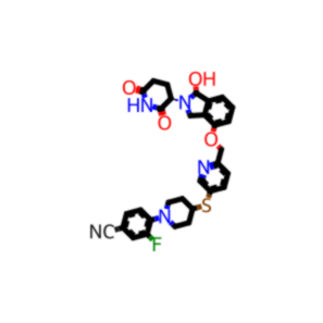 N#Cc1ccc(N2CCC(Sc3ccc(COc4cccc5c4CN([C@H]4CCC(=O)NC4=O)C5O)nc3)CC2)c(F)c1